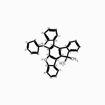 CC1(C)c2ccccc2-c2c1c1c3ccccc3oc1c1c2c2ccccc2n1-c1ccccc1